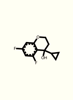 OC1(C2CC2)CCOc2cc(F)cc(F)c21